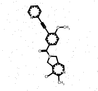 COc1ccc(C(=O)N2Cc3cnc(C)c(Cl)c3C2)cc1C#Cc1ccccn1